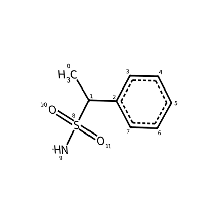 CC(c1ccccc1)S([NH])(=O)=O